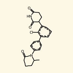 CC1CCCC(=O)N1c1ccc(-c2cccc(C3CCC(=O)NC3=O)c2Cl)cc1